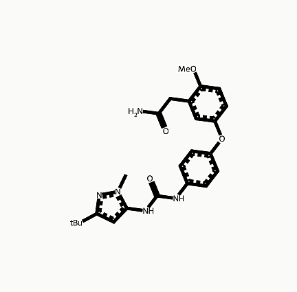 COc1ccc(Oc2ccc(NC(=O)Nc3cc(C(C)(C)C)nn3C)cc2)cc1CC(N)=O